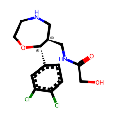 O=C(CO)NC[C@@H]1CNCCO[C@H]1c1ccc(Cl)c(Cl)c1